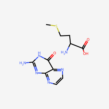 CSCCC(N)C(=O)O.Nc1nc2nccnc2c(=O)[nH]1